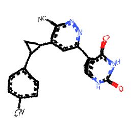 N#Cc1ccc(C2CC2c2cc(-c3c[nH]c(=O)[nH]c3=O)nnc2C#N)cc1